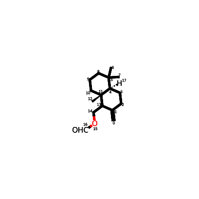 C=C1CC[C@@H]2C(C)(C)CCC[C@@]2(C)C1COC=O